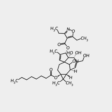 CCCCCCCC(=O)O[C@@]12CCC34C=C(C)[C@H](OC(=O)c5c(CC)noc5CC)[C@@]3(O)[C@H](O)C(CO)=C[C@H](C4O)[C@@H]1C2(C)C